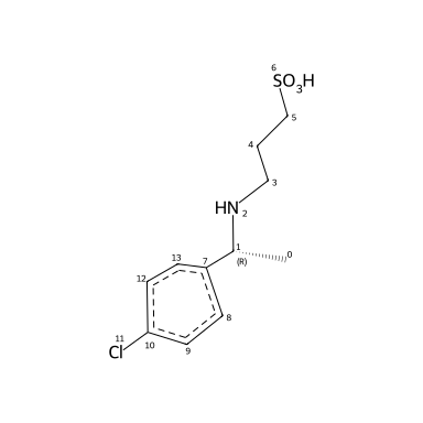 C[C@@H](NCCCS(=O)(=O)O)c1ccc(Cl)cc1